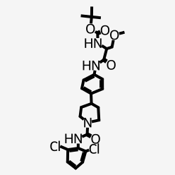 COCC(NC(=O)OC(C)(C)C)C(=O)Nc1ccc(C2CCN(C(=O)Nc3c(Cl)cccc3Cl)CC2)cc1